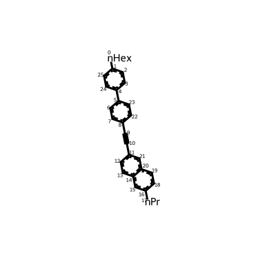 CCCCCCc1ccc(-c2ccc(C#Cc3ccc4cc(CCC)ccc4c3)cc2)cc1